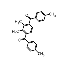 Cc1ccc(C(=O)c2ccc(C(=O)c3ccc(C)cc3)c(C)c2C)cc1